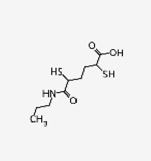 CCCNC(=O)C(S)CCC(S)C(=O)O